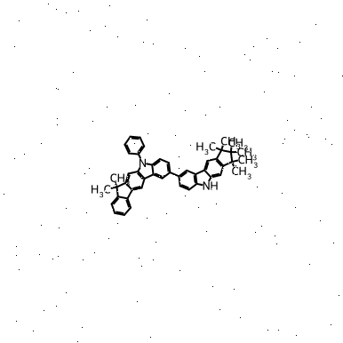 CC1(C)c2ccccc2-c2cc3c4cc(-c5ccc6[nH]c7cc8c(cc7c6c5)C(C)(C)C(C)(C)C8(C)C)ccc4n(-c4ccccc4)c3cc21